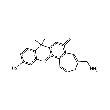 C=c1cc2c(c3c1C=C(CN)CC=C3)=Nc1cc(S)ccc1C2(C)C